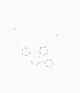 COc1nc([C@@]2(Nc3nccc(CN4CCNC(=O)C4)c3F)C=CC=C(c3ccccc3)C2(Cl)Cl)ccc1CNCC1CCC(=O)N1